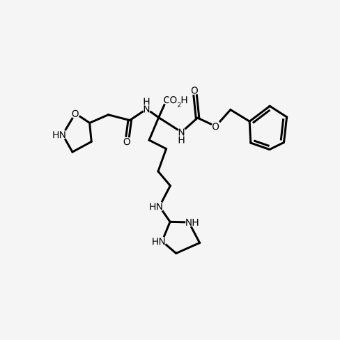 O=C(CC1CCNO1)NC(CCCCNC1NCCN1)(NC(=O)OCc1ccccc1)C(=O)O